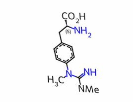 CNC(=N)N(C)c1ccc(C[C@H](N)C(=O)O)cc1